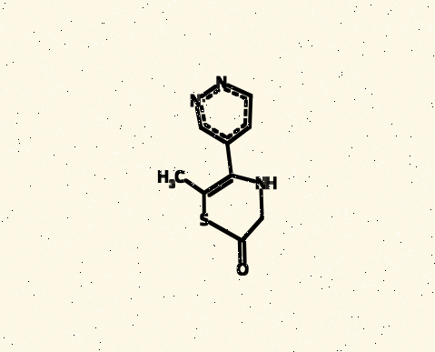 CC1=C(c2ccnnc2)NCC(=O)S1